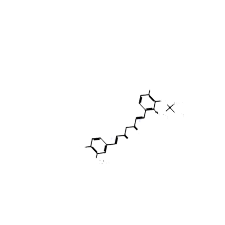 CCCc1c(/C=C/C(=O)CC(=O)/C=C/c2ccc(O)c(OC)c2)ccc(O)c1OC(CCC)(CCC)CCC